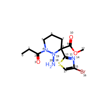 CCC(=O)N1CCCC(C(=O)OC)(c2nc(Br)cs2)N1N